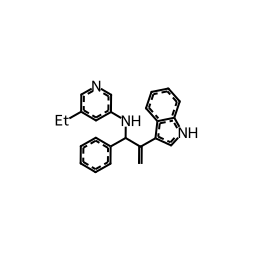 C=C(c1c[nH]c2ccccc12)C(Nc1cncc(CC)c1)c1ccccc1